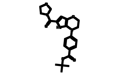 CC(C)(C)OC(=O)c1ccc(N2CCOc3cc(C(=O)N4CCOC4)[nH]c32)cc1